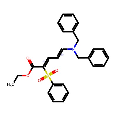 CCOC(=O)/C(=C/C=C/N(Cc1ccccc1)Cc1ccccc1)S(=O)(=O)c1ccccc1